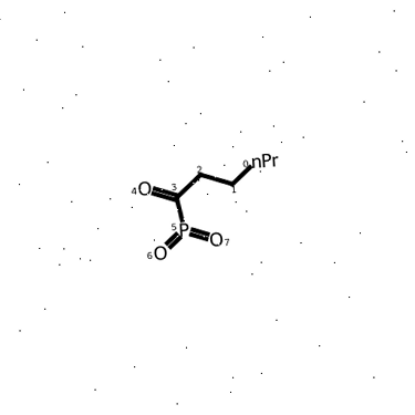 CCCCCC(=O)P(=O)=O